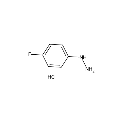 Cl.NNc1ccc(F)cc1